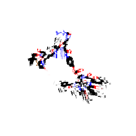 CC[C@H](C)[C@@H]([C@@H](CC(=O)N1C[C@@H](OC(=O)OCc2ccc(NC(=O)[C@H](CCCNC(N)=O)NC(=O)[C@@H](NC(=O)CCCCCN3C(=O)CC(SCC4(CC(=O)ON5C(=O)CCC5=O)CC4)C3=O)C(C)C)cc2)C[C@H]1[C@H](OC)[C@@H](C)C(=O)NCC(=O)c1ccc(C)cc1C)OC)N(C)C(=O)[C@@H](NC(=O)[C@H](C(C)C)N(C)C)C(C)C